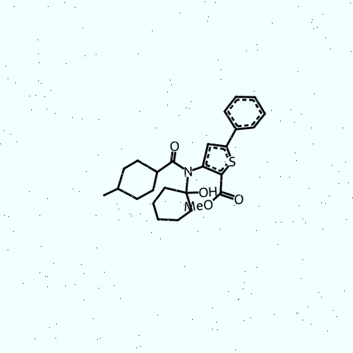 COC(=O)c1sc(-c2ccccc2)cc1N(C(=O)C1CCC(C)CC1)C1(O)CCCCC1